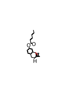 C/C=C/C=C/C(=O)Oc1ccc2c(c1)[C@@]13CCC[C@@]4(C1)C3[C@H](C2)N4C